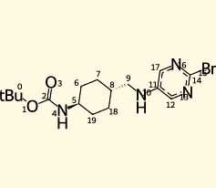 CC(C)(C)OC(=O)N[C@H]1CC[C@H](CNc2cnc(Br)nc2)CC1